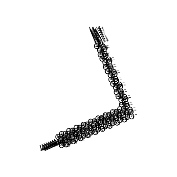 O=P([O-])([O-])OP(=O)([O-])[O-].O=P([O-])([O-])OP(=O)([O-])[O-].O=P([O-])([O-])OP(=O)([O-])[O-].O=P([O-])([O-])OP(=O)([O-])[O-].O=P([O-])([O-])OP(=O)([O-])[O-].O=P([O-])([O-])OP(=O)([O-])[O-].O=P([O-])([O-])OP(=O)([O-])[O-].O=P([O-])([O-])OP(=O)([O-])[O-].O=P([O-])([O-])OP(=O)([O-])[O-].O=P([O-])([O-])OP(=O)([O-])[O-].O=P([O-])([O-])OP(=O)([O-])[O-].O=P([O-])([O-])OP(=O)([O-])[O-].O=P([O-])([O-])OP(=O)([O-])[O-].O=P([O-])([O-])OP(=O)([O-])[O-].O=P([O-])([O-])OP(=O)([O-])[O-].[W+4].[W+4].[W+4].[W+4].[W+4].[W+4].[W+4].[W+4].[W+4].[W+4].[W+4].[W+4].[W+4].[W+4].[W+4]